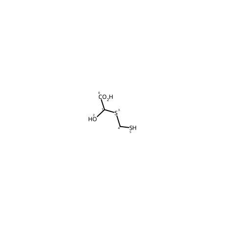 O=C(O)C(O)SCS